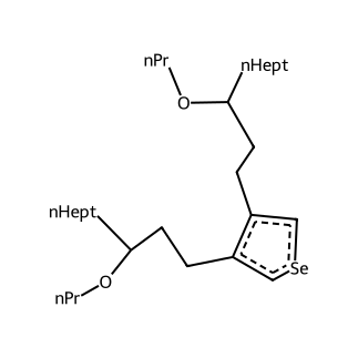 CCCCCCCC(CCc1c[se]cc1CCC(CCCCCCC)OCCC)OCCC